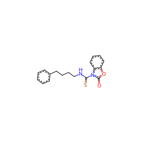 O=c1oc2ccccc2n1C(=S)NCCCCc1ccccc1